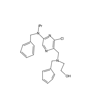 CC(C)N(Cc1ccccc1)c1cnc(CN(CCO)Cc2ccccc2)c(Cl)n1